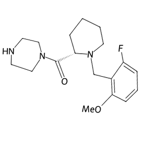 COc1cccc(F)c1CN1CCCC[C@H]1C(=O)N1CCNCC1